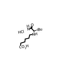 CC[C@H](C)[C@H](NCCCCCC(=O)O)C(N)=O.Cl